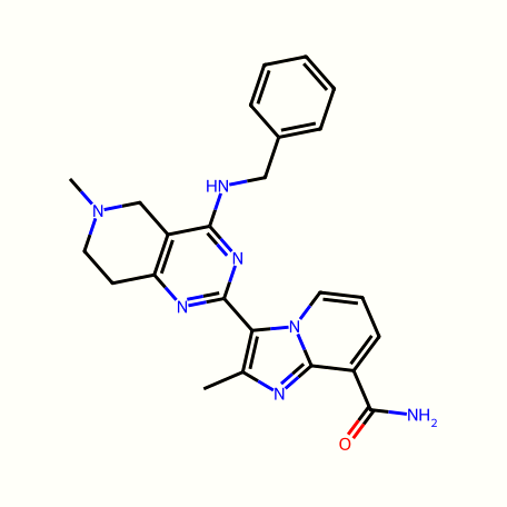 Cc1nc2c(C(N)=O)cccn2c1-c1nc2c(c(NCc3ccccc3)n1)CN(C)CC2